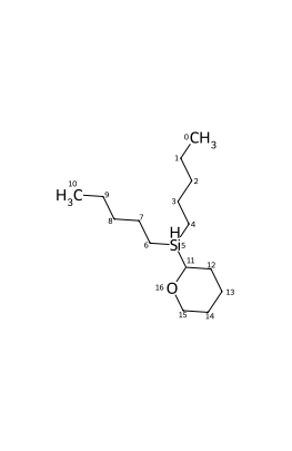 CCCCC[SiH](CCCCC)C1CCCCO1